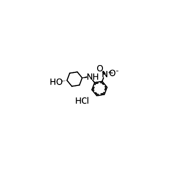 Cl.O=[N+]([O-])c1ccccc1N[C@H]1CC[C@H](O)CC1